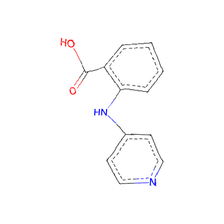 O=C(O)c1ccccc1Nc1ccncc1